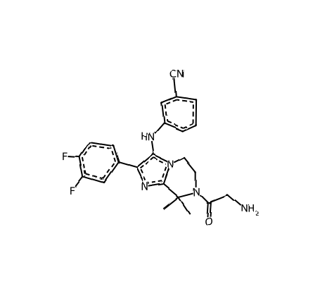 CC1(C)c2nc(-c3ccc(F)c(F)c3)c(Nc3cccc(C#N)c3)n2CCN1C(=O)CN